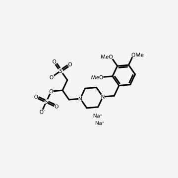 COc1ccc(CN2CCN(CC(CS(=O)(=O)[O-])OS(=O)(=O)[O-])CC2)c(OC)c1OC.[Na+].[Na+]